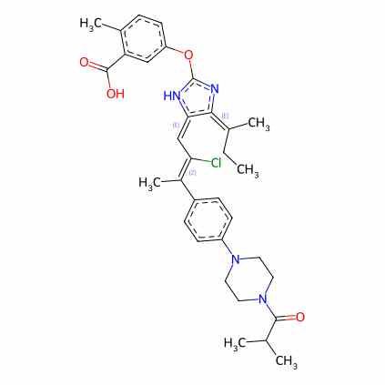 CC/C(C)=c1/nc(Oc2ccc(C)c(C(=O)O)c2)[nH]/c1=C/C(Cl)=C(\C)c1ccc(N2CCN(C(=O)C(C)C)CC2)cc1